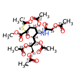 COC(=O)[C@@]1(SC(C)=O)C[C@H](OC(C)=O)[C@@H](NC(=O)COC(C)=O)[C@H]([C@H](OC(C)=O)[C@@H](COC(C)=O)OC(C)=O)O1